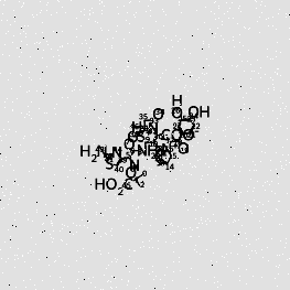 CC(C)(ON=C(C(=O)NC1C(C2SC3=CC[N+]2(CC(=O)c2ccc(O)c(O)c2)C=C3)=C(C(=O)[O-])N2C(=O)C[C@@H]2[S+]1[O-])c1csc(N)n1)C(=O)O